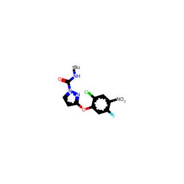 CC(C)(C)NC(=O)n1ccc(Oc2cc(F)c([N+](=O)[O-])cc2Cl)n1